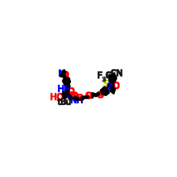 CC(C)(C)C(NC(=O)COCCCOCCCCOc1ccc(N2C(=S)N(c3ccc(C#N)c(C(F)(F)F)c3)C(=O)C23CCC3)cc1)C(=O)N1C[C@H](O)C[C@H]1C(=O)NCc1ccc(-c2cnco2)cc1